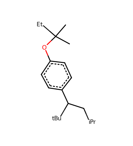 CCC(C)(C)Oc1ccc(C(CC(C)C)C(C)(C)C)cc1